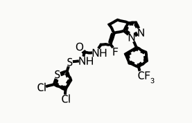 O=C(NC/C(F)=C1\CCc2cnn(-c3ccc(C(F)(F)F)cc3)c21)NSc1cc(Cl)c(Cl)s1